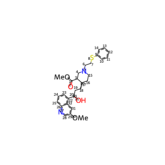 COC(=O)C1CN(CCSc2ccccc2)CC[C@H]1CC[C@@H](O)c1cccc2ncc(OC)cc12